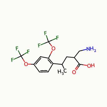 CC(CC(CN)C(=O)O)c1ccc(OC(F)(F)F)cc1OC(F)(F)F